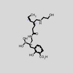 C/C=C\C(=C/CC(=O)NC[C@@H](Cc1cccc(C(=O)O)c1O)B(O)O)CNCCO